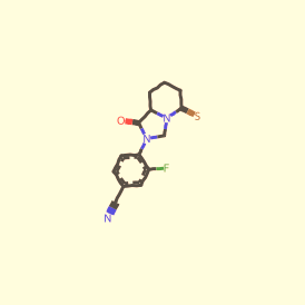 N#Cc1ccc(N2CN3C(=S)CCCC3C2=O)c(F)c1